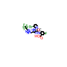 Cc1cc(F)cc(C(=O)O)c1NC(=O)c1cc(Cn2nnc(C(F)(F)C(F)(F)F)n2)nn1-c1ncccc1Br